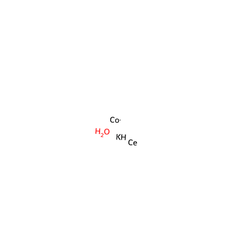 O.[Ce].[Co].[KH]